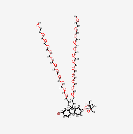 COCCOCOCOCOCOCOCOCOCOCOCOCCCC1(CCCOCOCOCOCOCOCOCOCOCOCOCCOC)c2cc(Br)ccc2-c2ccc(B3OC(C)(C)C(C)(C)O3)cc21